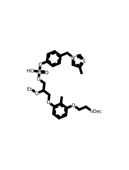 CCCCCCCCCCCCOc1cccc(OCC(COP(=O)(O)Oc2ccc(C[n+]3csc(C)c3)cc2)OCC)c1C